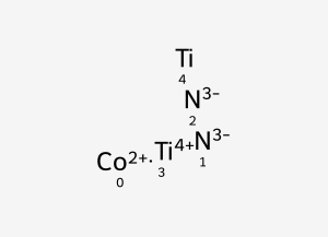 [Co+2].[N-3].[N-3].[Ti+4].[Ti]